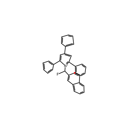 FC(c1ccc2ccccc2c1)[n+]1c(-c2ccccc2)cc(-c2ccccc2)cc1-c1ccccc1